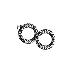 C1CCCCCCCCCCCCCCC(N2CCOCCOCCCCOCCOCCNCCOCCOCCOCC2)CCCCCCCCCCCCC1